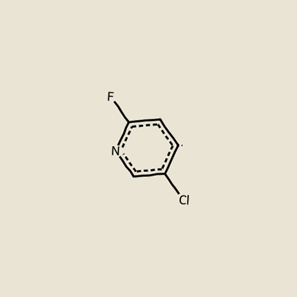 Fc1c[c]c(Cl)cn1